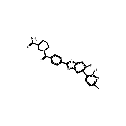 Cc1ccc(-c2cc3[nH]c(-c4ccc(C(=O)N5CCCC(C(N)=O)C5)cc4)nc3cc2F)c(Cl)n1